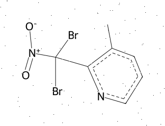 Cc1cccnc1C(Br)(Br)[N+](=O)[O-]